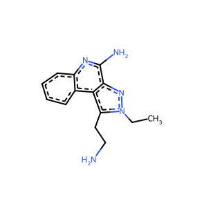 CCn1nc2c(N)nc3ccccc3c2c1CCN